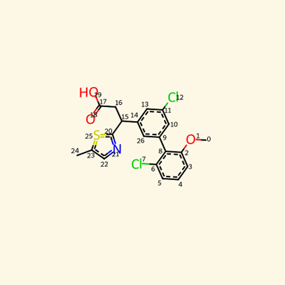 COc1cccc(Cl)c1-c1cc(Cl)cc(C(CC(=O)O)c2ncc(C)s2)c1